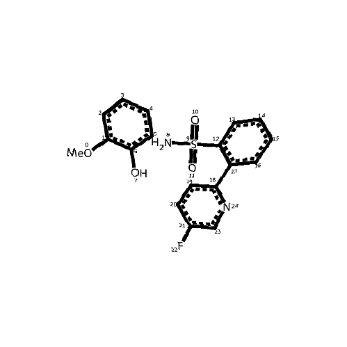 COc1ccccc1O.NS(=O)(=O)c1ccccc1-c1ccc(F)cn1